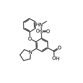 CNS(=O)(=O)c1cc(C(=O)O)cc(N2CCCC2)c1Oc1ccccc1